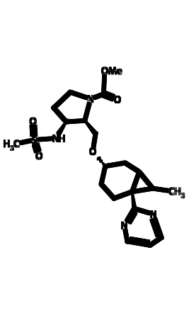 COC(=O)N1CC[C@H](NS(C)(=O)=O)[C@@H]1CO[C@H]1CC[C@@]2(c3ncccn3)C(C)C2C1